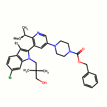 CCc1c(-c2cc(N3CCN(C(=O)OCc4ccccc4)CC3)cnc2[C@H](C)OC)n(CC(C)(C)CO)c2cc(Br)ccc12